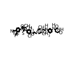 C[C@@H]1CN(CCOc2ccc(N3C(=S)N(c4ccc(C#N)c(C(F)(F)F)c4)C(=O)C3(C)C)cc2Cl)C[C@H](C)N1CC(=O)Nc1cccc(NC2CCC(=O)NC2=O)c1